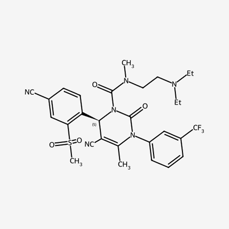 CCN(CC)CCN(C)C(=O)N1C(=O)N(c2cccc(C(F)(F)F)c2)C(C)=C(C#N)[C@H]1c1ccc(C#N)cc1S(C)(=O)=O